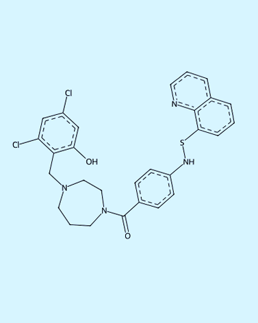 O=C(c1ccc(NSc2cccc3cccnc23)cc1)N1CCCN(Cc2c(O)cc(Cl)cc2Cl)CC1